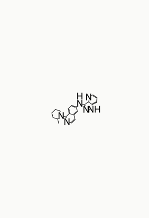 CC1CCCCN1c1nccc2cc(Nc3n[nH]c4cccnc34)ccc12